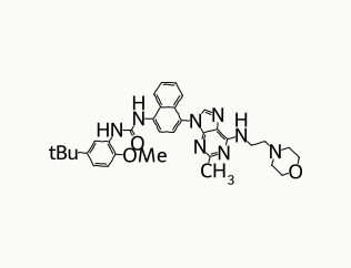 COc1ccc(C(C)(C)C)cc1NC(=O)Nc1ccc(-n2cnc3c(NCCN4CCOCC4)nc(C)nc32)c2ccccc12